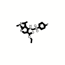 CCOC(=O)c1cnc2c(c(C)nn2C)c1NCS(=O)(=O)c1ccc(F)cc1